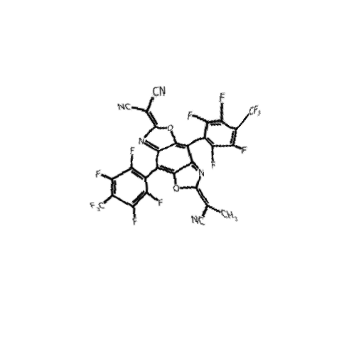 C/C(C#N)=c1\nc2c(-c3c(F)c(F)c(C(F)(F)F)c(F)c3F)c3oc(=C(C#N)C#N)nc3c(-c3c(F)c(F)c(C(F)(F)F)c(F)c3F)c2o1